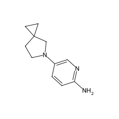 Nc1ccc(N2CCC3(CC3)C2)cn1